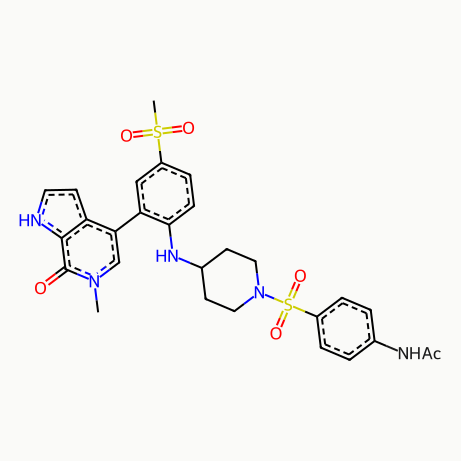 CC(=O)Nc1ccc(S(=O)(=O)N2CCC(Nc3ccc(S(C)(=O)=O)cc3-c3cn(C)c(=O)c4[nH]ccc34)CC2)cc1